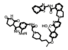 CNc1cc(NC(=O)CN2CCC(CC[C@H](C)Oc3ccc(-c4ccc(N5CCc6cccc(C(=O)Nc7nc8ccccc8s7)c6C5)nc4C(=O)O)c(C)c3)CC2)ccc1C(=N)C1CCC(=O)NC1=O